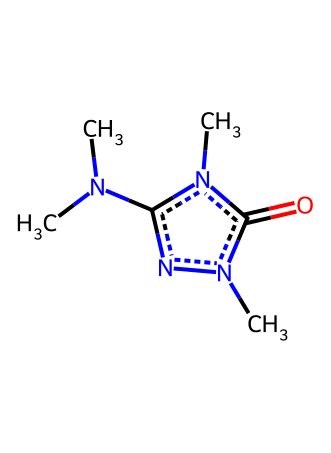 CN(C)c1nn(C)c(=O)n1C